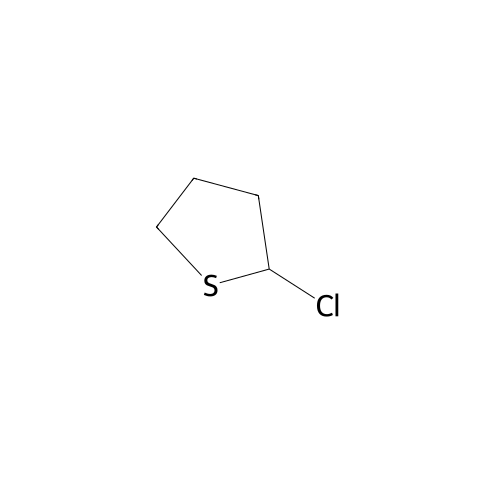 ClC1CCCS1